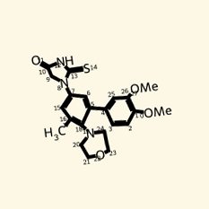 COc1ccc(-c2cc(N3CC(=O)NC3=S)cc(C)c2N2CCOCC2)cc1OC